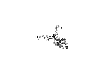 CCCCOC(=O)O[C@]1(C(=O)COC(=O)CCCC)CC[C@H]2[C@@H]3CCC4=CC(=O)C=C[C@]4(C)[C@@]3(Cl)C(O)C[C@@]21C